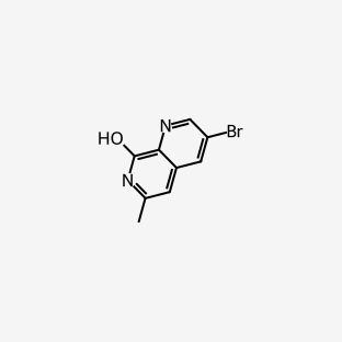 Cc1cc2cc(Br)cnc2c(O)n1